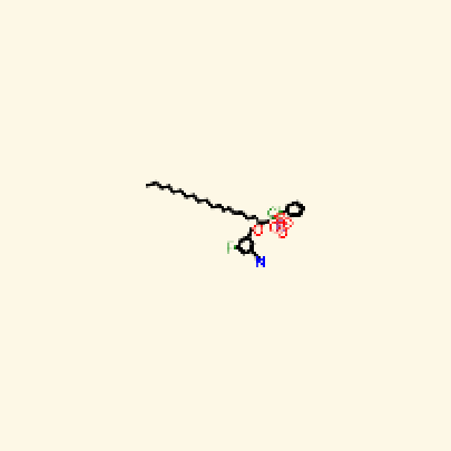 CCCCCCCCCCCCCCCCCC[C@@H](COP(=O)(OC)Oc1ccccc1Cl)OCc1cc(F)cc(C#N)c1